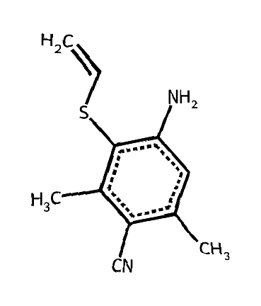 C=CSc1c(N)cc(C)c(C#N)c1C